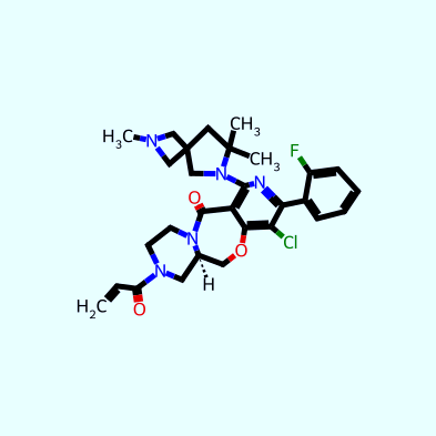 C=CC(=O)N1CCN2C(=O)c3c(N4CC5(CN(C)C5)CC4(C)C)nc(-c4ccccc4F)c(Cl)c3OC[C@H]2C1